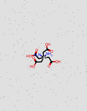 [NH2][Fe]([NH2])([CH2]C(=O)O)([CH2]C(=O)O)([CH2]C(=O)O)[CH2]C(=O)O